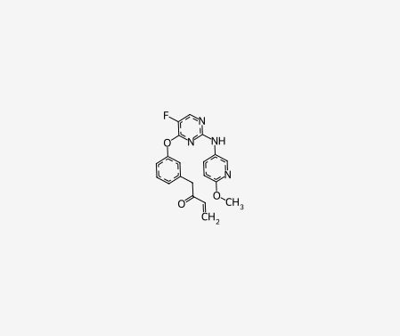 C=CC(=O)Cc1cccc(Oc2nc(Nc3ccc(OC)nc3)ncc2F)c1